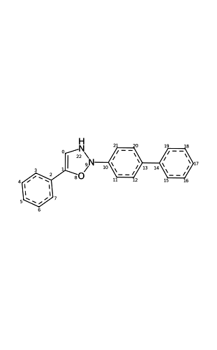 C1=C(c2ccccc2)ON(c2ccc(-c3ccccc3)cc2)N1